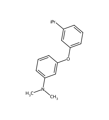 CC(C)c1cccc(Oc2cccc(N(C)C)c2)c1